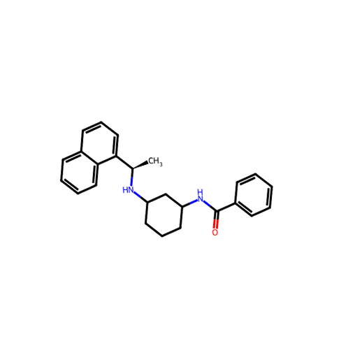 C[C@@H](NC1CCCC(NC(=O)c2ccccc2)C1)c1cccc2ccccc12